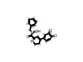 O=C(C1=NCCC(c2ccc(Cl)c(Cl)c2)=C1)N(O)Cc1ccccc1